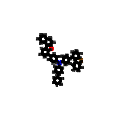 c1ccc(-c2ccc(N(c3ccc(-c4cccc5c4oc4ccc6ccccc6c45)cc3)c3ccc(-c4cccc5sc6ccccc6c45)cc3)cc2)cc1